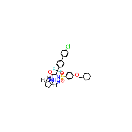 N[C@H]1[C@@H]2CC[C@H]1CN(C(=O)[C@H](NS(=O)(=O)c1ccc(OCC3CCCCC3)cc1)C(F)(F)c1ccc(-c3ccc(Cl)cc3)cc1)C2